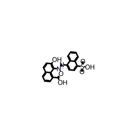 O=C(O)c1cccc2ccc(O)c(/N=N/c3ccc(S(=O)(=O)O)c4ccccc34)c12